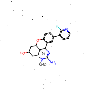 CN(C=O)/C(N)=N\C1c2cc(-c3cccnc3F)ccc2OC2CC(O)CC[C@@H]21